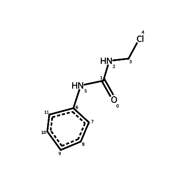 O=C(NCCl)Nc1[c]cccc1